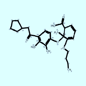 CCCCOC1=CC=CC(C(=O)O)C1(C)Oc1ccc(C(=O)CC2CCCC2)c(O)c1C